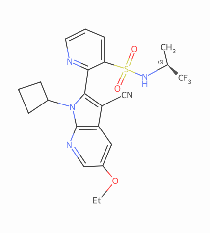 CCOc1cnc2c(c1)c(C#N)c(-c1ncccc1S(=O)(=O)N[C@@H](C)C(F)(F)F)n2C1CCC1